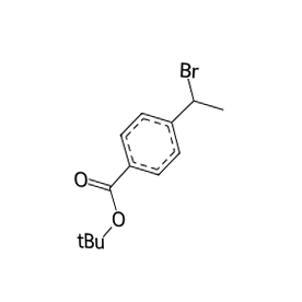 CC(Br)c1ccc(C(=O)OC(C)(C)C)cc1